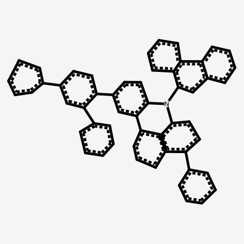 c1ccc(-c2ccc(N(c3ccc(-c4ccc(-c5ccccc5)cc4-c4ccccc4)cc3-c3ccccc3)c3cc4ccccc4c4ccccc34)cc2)cc1